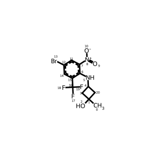 CC1(O)CC(Nc2c([N+](=O)[O-])cc(Br)cc2C(F)(F)F)C1